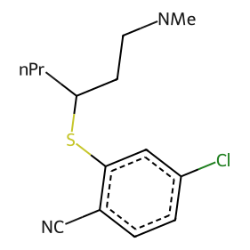 CCCC(CCNC)Sc1cc(Cl)ccc1C#N